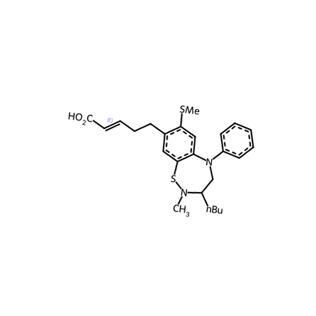 CCCCC1CN(c2ccccc2)c2cc(SC)c(CC/C=C/C(=O)O)cc2SN1C